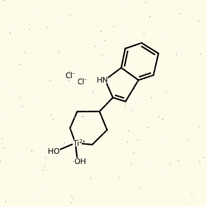 [Cl-].[Cl-].[OH][Ti+2]1([OH])[CH2]CC(c2cc3ccccc3[nH]2)C[CH2]1